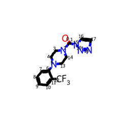 O=C(N1CCN(c2ccccc2C(F)(F)F)CC1)n1ccnn1